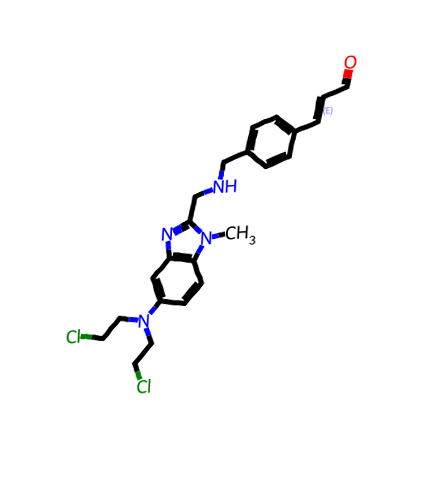 Cn1c(CNCc2ccc(/C=C/C=O)cc2)nc2cc(N(CCCl)CCCl)ccc21